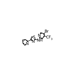 FC(F)(F)c1cc(Nc2nc(-c3ccccn3)cs2)ncc1Br